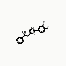 OC(Cc1cnc(-c2ccc(F)c(F)c2)s1)c1ccncc1